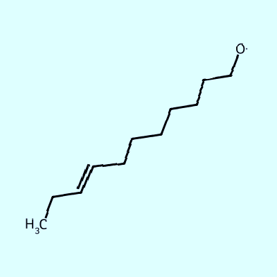 CCC=CCCCCCCC[O]